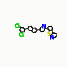 Clc1cc(Cl)cc(-c2ccc3cc(-c4ccc(-c5cccc6c5sc5ncccc56)nc4)ccc3c2)c1